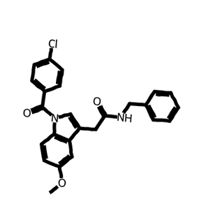 COc1ccc2c(c1)c(CC(=O)NCc1ccccc1)cn2C(=O)c1ccc(Cl)cc1